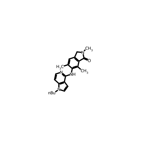 CCCCn1ccc2c(Nc3c(C)cc4c(c3C)C(=O)N(C)C4)nccc21